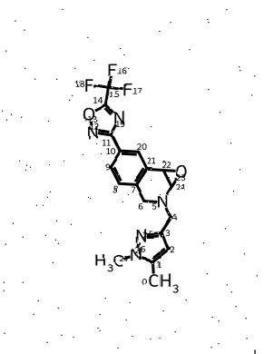 Cc1cc(CN2Cc3ccc(-c4noc(C(F)(F)F)n4)cc3C3OC32)nn1C